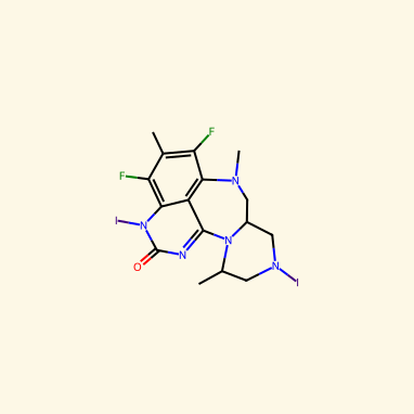 Cc1c(F)c2c3c(nc(=O)n(I)c3c1F)N1C(C)CN(I)CC1CN2C